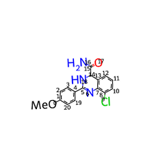 COc1ccc(C2=Nc3c(Cl)cccc3C(C(N)=O)N2)cc1